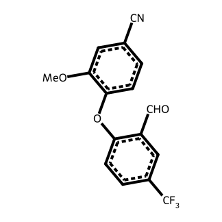 COc1cc(C#N)ccc1Oc1ccc(C(F)(F)F)cc1C=O